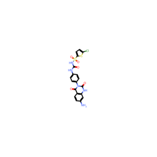 Nc1ccc2c(=O)n(-c3ccc(NC(=O)NS(=O)(=O)c4ccc(Cl)s4)cc3)c(=O)[nH]c2c1